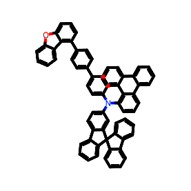 c1ccc2c(c1)-c1ccccc1C21c2ccccc2-c2ccc(N(c3ccc(-c4ccc(-c5cccc6oc7ccccc7c56)cc4)cc3)c3cccc4c5ccccc5c5ccccc5c34)cc21